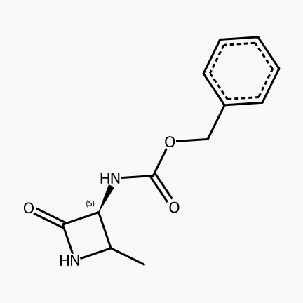 CC1NC(=O)[C@H]1NC(=O)OCc1ccccc1